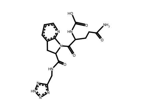 NC(=O)CCC(NC(=O)O)C(=O)N1c2ncccc2CC1C(=O)NCc1nn[nH]n1